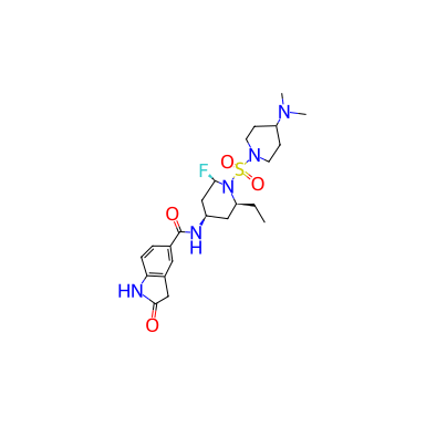 CC[C@H]1C[C@@H](NC(=O)c2ccc3c(c2)CC(=O)N3)C[C@@H](F)N1S(=O)(=O)N1CCC(N(C)C)CC1